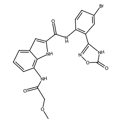 COCC(=O)Nc1cccc2cc(C(=O)Nc3ccc(Br)cc3-c3noc(=O)[nH]3)[nH]c12